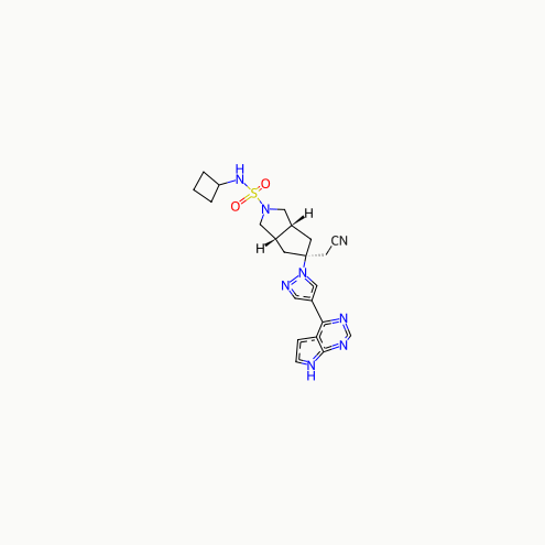 N#CC[C@@]1(n2cc(-c3ncnc4[nH]ccc34)cn2)C[C@H]2CN(S(=O)(=O)NC3CCC3)C[C@H]2C1